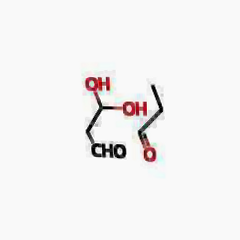 CCC=O.O=CCC(O)O